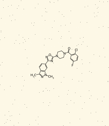 Cc1nn(C)c2cc(-c3noc(N4CCN(C(=O)c5cc(F)ccc5Cl)CC4)n3)ccc12